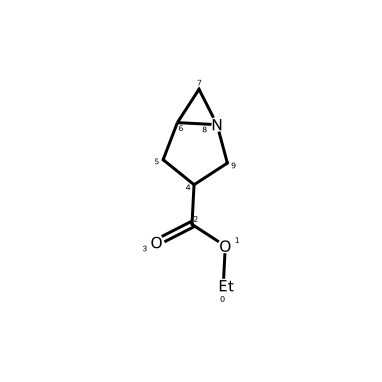 CCOC(=O)C1CC2CN2C1